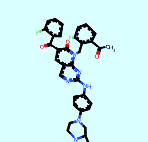 CC(=O)c1cccc(F)c1Cn1c(=O)c(C(=O)c2ccccc2F)cc2cnc(Nc3ccc(N4CCN5CCCC5C4)cc3)nc21